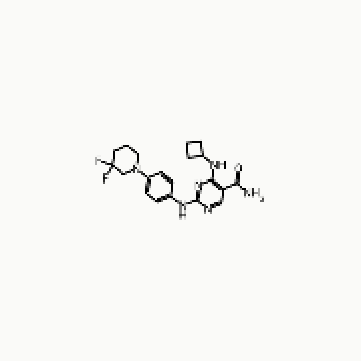 NC(=O)c1cnc(Nc2ccc(N3CCCC(F)(F)C3)cc2)nc1NC1CCC1